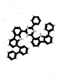 c1ccc(-c2nc(-c3cccc4c3oc3c(-c5ccccc5-c5ccccc5)cccc34)nc(-c3cccc4c3sc3c(-c5ccccc5)cccc34)n2)cc1